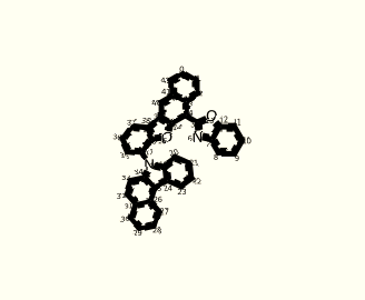 c1ccc2c(-c3nc4ccccc4o3)c3oc4c(-n5c6ccccc6c6c7ccccc7ccc65)cccc4c3cc2c1